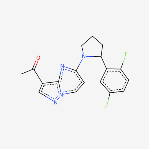 CC(=O)c1cnn2ccc(N3CCCC3c3cc(F)ccc3F)nc12